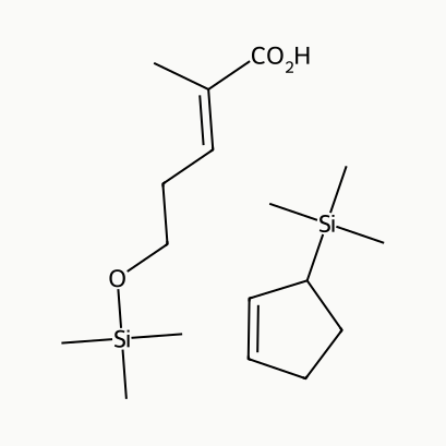 CC(=CCCO[Si](C)(C)C)C(=O)O.C[Si](C)(C)C1C=CCC1